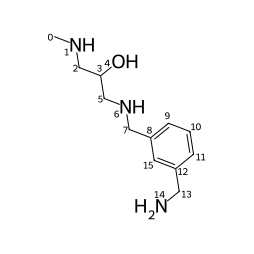 CNCC(O)CNCc1cccc(CN)c1